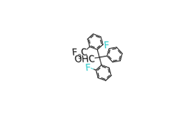 O=CC(c1ccccc1F)(c1ccccc1F)c1ccccc1C(F)(F)F